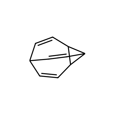 C1=CC2C3C=CC1C=CC23